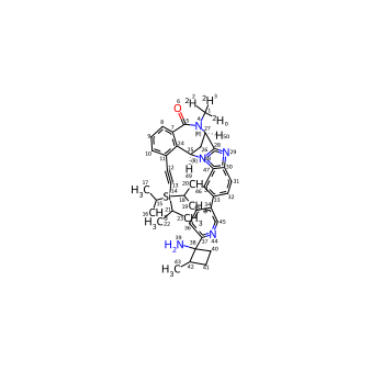 [2H]C([2H])([2H])N1C(=O)c2cccc(C#C[Si](C(C)C)(C(C)C)C(C)C)c2[C@H]2C[C@@H]1c1nc3ccc(-c4ccc(C5(N)CCC5C)nc4)cc3n12